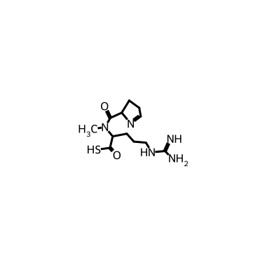 CN(C(=O)C1CCC=N1)C(CCCNC(=N)N)C(=O)S